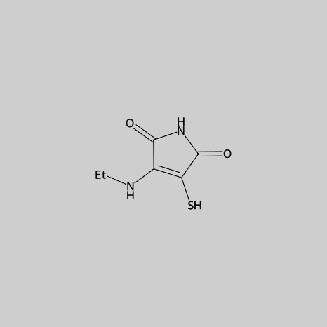 CCNC1=C(S)C(=O)NC1=O